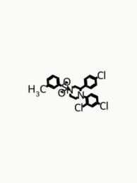 Cc1cccc(S(=O)(=O)N2CCN(c3ccc(Cl)cc3Cl)C(c3ccc(Cl)cc3)C2)c1